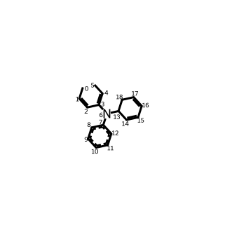 C/C=C\C(=C/C)N(c1ccccc1)C1C=CC=CC1